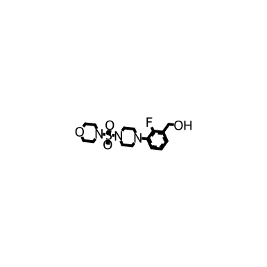 O=S(=O)(N1CCOCC1)N1CCN(c2cccc(CO)c2F)CC1